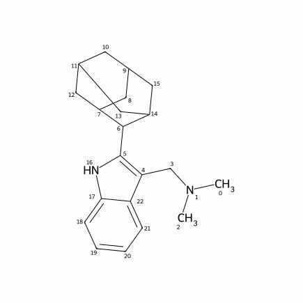 CN(C)Cc1c(C2C3CC4CC(C3)CC2C4)[nH]c2ccccc12